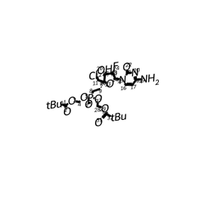 CC(C)(C)C(=O)OCOP(=O)(CC[C@@]1(CCl)OC(n2ccc(N)nc2=O)[C@H](F)[C@@H]1O)OCOC(=O)C(C)(C)C